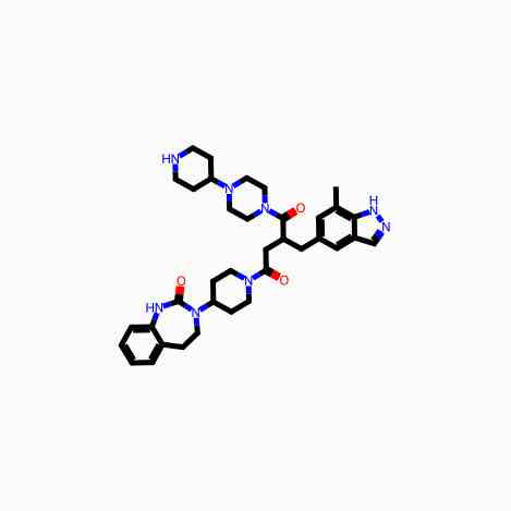 Cc1cc(CC(CC(=O)N2CCC(N3CCc4ccccc4NC3=O)CC2)C(=O)N2CCN(C3CCNCC3)CC2)cc2cn[nH]c12